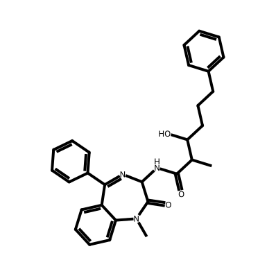 CC(C(=O)NC1N=C(c2ccccc2)c2ccccc2N(C)C1=O)C(O)CCCc1ccccc1